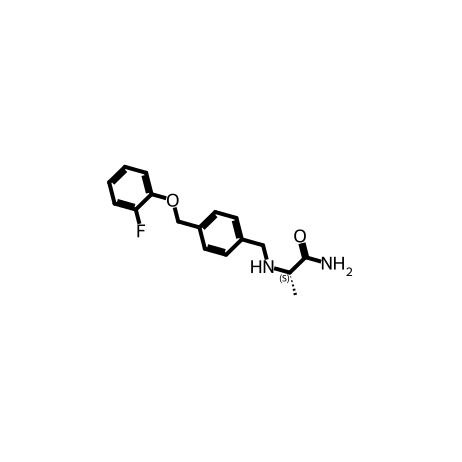 C[C@H](NCc1ccc(COc2ccccc2F)cc1)C(N)=O